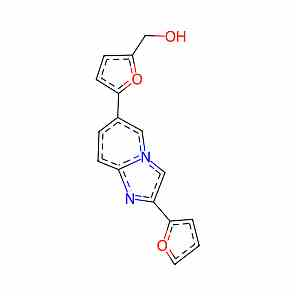 OCc1ccc(-c2ccc3nc(-c4ccco4)cn3c2)o1